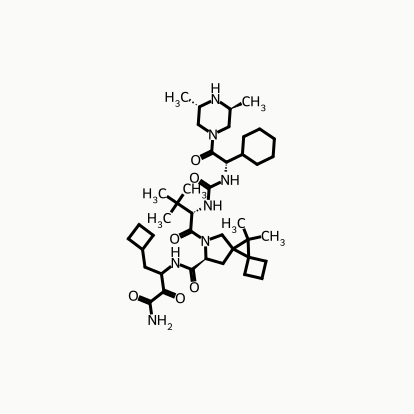 C[C@H]1CN(C(=O)[C@@H](NC(=O)N[C@H](C(=O)N2CC3(C[C@H]2C(=O)NC(CC2CCC2)C(=O)C(N)=O)C(C)(C)C32CCC2)C(C)(C)C)C2CCCCC2)C[C@H](C)N1